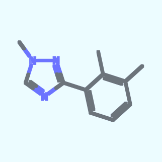 Cc1cccc(-c2ncn(C)n2)c1C